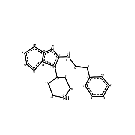 c1ccc(CCNc2nc3ccccc3n2C2CCNCC2)cc1